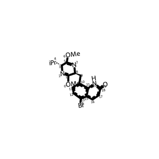 COC1=N[C@H](C(C)C)C(OC)=N[C@H]1Cc1ccc(Br)c2ccc(=O)[nH]c12